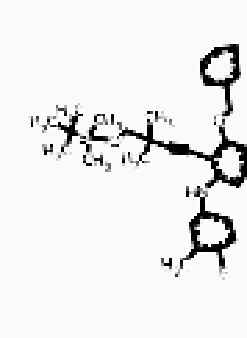 Cc1cc(Nc2cccc(OCc3ccccc3)c2C#CC(C)(C)CO[Si](C)(C)C(C)(C)C)ccc1F